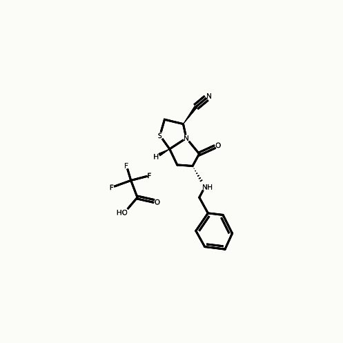 N#C[C@@H]1CS[C@H]2C[C@@H](NCc3ccccc3)C(=O)N12.O=C(O)C(F)(F)F